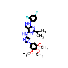 COc1cc(-n2cnc(Nc3nc(C(C)C)nc4c3cnn4-c3ccc(F)cc3F)c2)cc(OC)c1OC